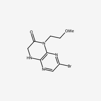 COCCN1C(=O)CNc2ncc(Br)nc21